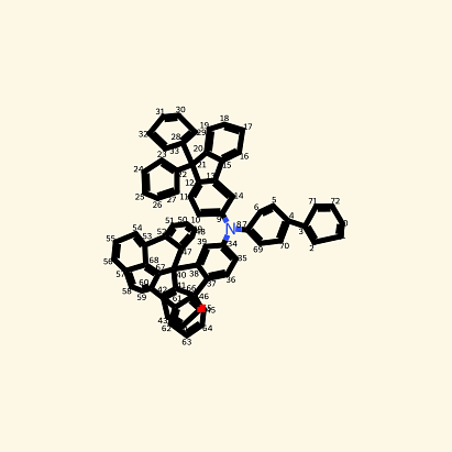 c1ccc(-c2ccc(N(c3ccc4c(c3)-c3ccccc3C4(c3ccccc3)c3ccccc3)c3ccc4c(c3)C3(c5ccccc5-4)c4ccccc4-c4cccc5ccc(-c6ccccc6)c3c45)cc2)cc1